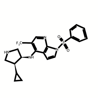 O=S(=O)(c1ccccc1)n1ccc2c(N[C@@H]3CNC[C@@H]3C3CC3)c(C(F)(F)F)cnc21